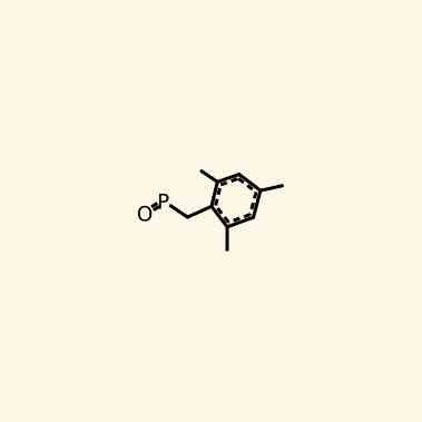 Cc1cc(C)c(CP=O)c(C)c1